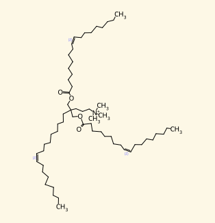 CCCCCCCC/C=C\CCCCCCCCC(CCC[N+](C)(C)C)(COC(=O)CCCCCCC/C=C\CCCCCCCC)COC(=O)CCCCCCC/C=C\CCCCCCCC